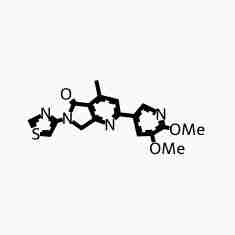 COc1cc(-c2cc(C)c3c(n2)CN(c2cscn2)C3=O)cnc1OC